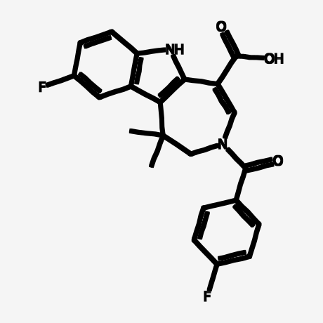 CC1(C)CN(C(=O)c2ccc(F)cc2)C=C(C(=O)O)c2[nH]c3ccc(F)cc3c21